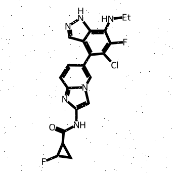 CCNc1c(F)c(Cl)c(-c2ccc3nc(NC(=O)C4CC4F)cn3c2)c2cn[nH]c12